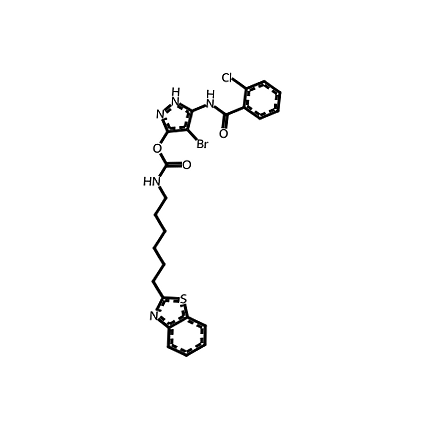 O=C(NCCCCCCc1nc2ccccc2s1)Oc1n[nH]c(NC(=O)c2ccccc2Cl)c1Br